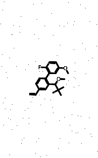 C=Cc1ccc(-c2cc(OC)ccc2F)c(C(OC)C(C)(C)C)c1